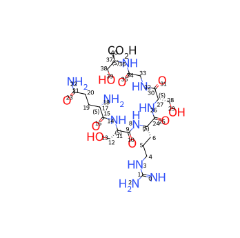 N=C(N)NCCC[C@H](NC(=O)[C@H](CO)NC(=O)[C@@H](N)CCC(N)=O)C(=O)N[C@@H](CO)C(=O)NCC(=O)N[C@@H](CO)C(=O)O